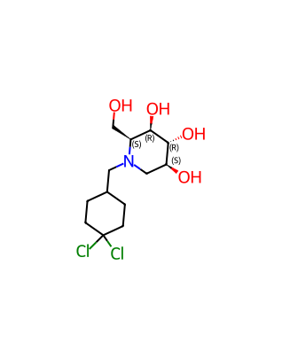 OC[C@H]1[C@@H](O)[C@H](O)[C@@H](O)CN1CC1CCC(Cl)(Cl)CC1